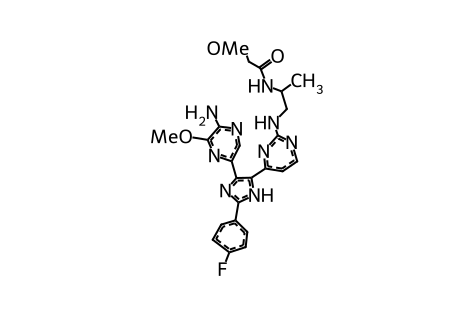 COCC(=O)NC(C)CNc1nccc(-c2[nH]c(-c3ccc(F)cc3)nc2-c2cnc(N)c(OC)n2)n1